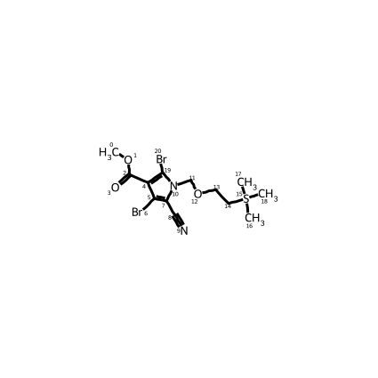 COC(=O)c1c(Br)c(C#N)n(COCCS(C)(C)C)c1Br